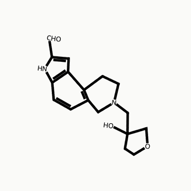 O=Cc1cc2c3c(ccc2[nH]1)CN(CC1(O)CCOC1)CC3